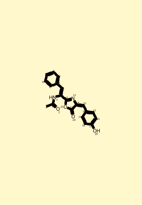 CC(=O)NC(=Cc1ccccc1)C1=NC(=Cc2ccc(O)cc2)C(=O)O1